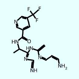 C=C(/N=C\C=C/N)N/C(=N\C=N)C(C)NC(=O)c1cncc(C(F)(F)F)c1